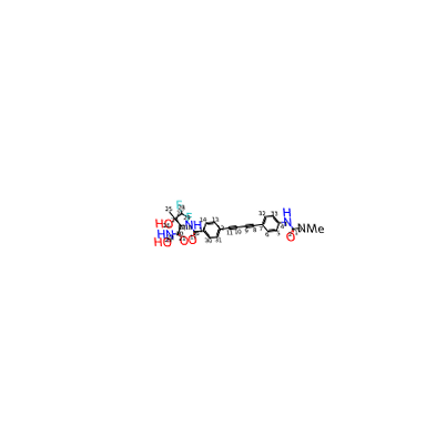 CNC(=O)Nc1ccc(C#CC#Cc2ccc(C(=O)N[C@H](C(=O)NO)C(C)(O)C(F)F)cc2)cc1